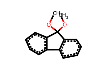 COC1(OC)c2ccccc2-c2ccccc21